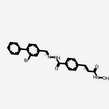 O=C(/C=C/c1ccc(C(=O)N/N=C/c2ccc(-c3ccccc3)c(Br)c2)cc1)NO